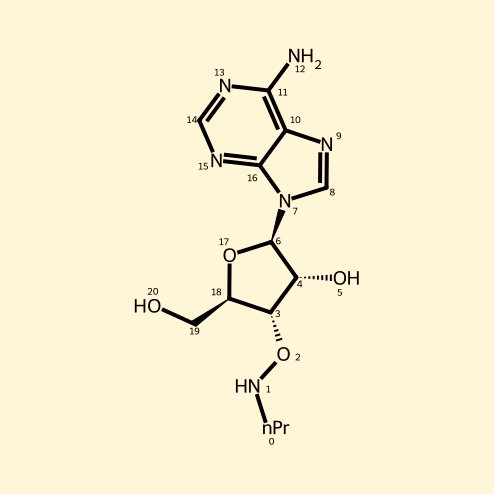 CCCNO[C@H]1[C@@H](O)[C@H](n2cnc3c(N)ncnc32)O[C@@H]1CO